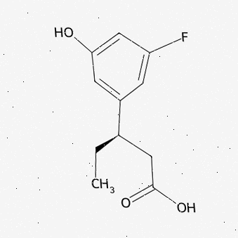 CC[C@H](CC(=O)O)c1cc(O)cc(F)c1